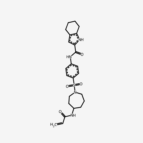 C=CC(=O)NC1CCCN(S(=O)(=O)c2ccc(NC(=O)c3cc4c([nH]3)CCCC4)cc2)CC1